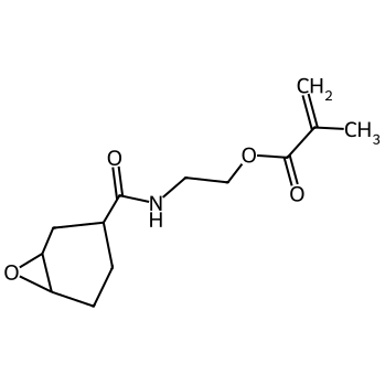 C=C(C)C(=O)OCCNC(=O)C1CCC2OC2C1